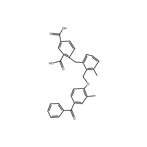 Cc1cc(C(=O)c2ccccc2)ccc1OCc1c(C)cccc1Cc1ccc(C(=O)O)cc1C(=O)O